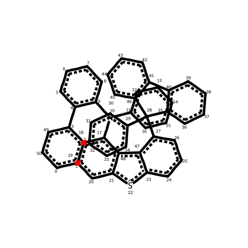 c1ccc(-c2ccccc2N(c2ccccc2)c2cccc3sc4cccc(C5(c6ccccc6)c6ccccc6-c6ccccc65)c4c23)cc1